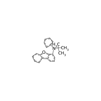 CC(C)(C)N(c1ccccc1)c1cccc2c1oc1ccccc12